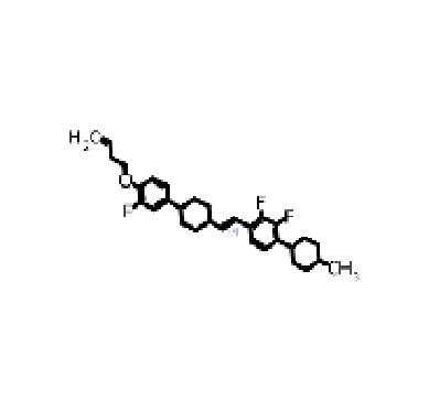 C=CCCOc1ccc(C2CCC(/C=C/c3ccc(C4CCC(C)CC4)c(F)c3F)CC2)cc1F